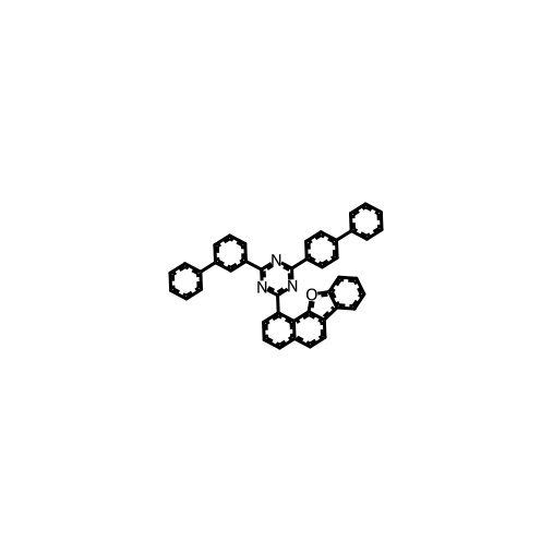 c1ccc(-c2ccc(-c3nc(-c4cccc(-c5ccccc5)c4)nc(-c4cccc5ccc6c7ccccc7oc6c45)n3)cc2)cc1